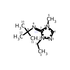 CCn1ncn(C)/c1=N/C(C)(C)C